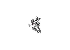 CS(=O)(=O)OCCN(CCBr)c1c(C(F)(F)F)cc([N+](=O)[O-])cc1S(=O)(=O)N1CCN(Cc2ccccn2)CC1